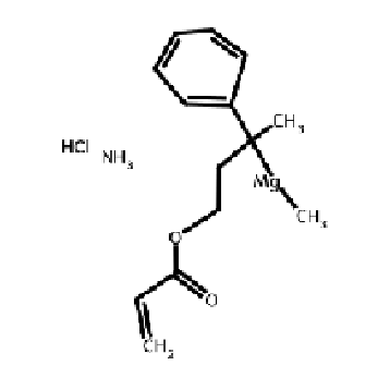 C=CC(=O)OCC[C](C)([Mg][CH3])c1ccccc1.Cl.N